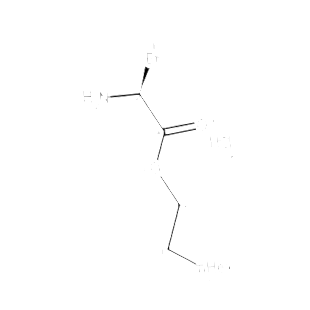 CCCCCCCCOC(=O)[C@@H](N)CC.Cl